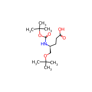 CC(C)(C)OC[C@H](CCC(=O)O)NC(=O)OC(C)(C)C